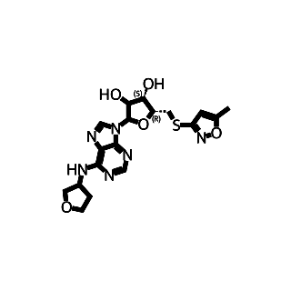 Cc1cc(SC[C@@H]2OC(n3cnc4c(NC5CCOC5)ncnc43)C(O)[C@@H]2O)no1